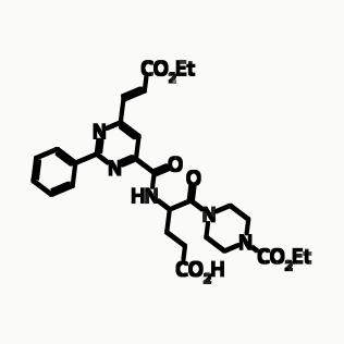 CCOC(=O)C=Cc1cc(C(=O)NC(CCC(=O)O)C(=O)N2CCN(C(=O)OCC)CC2)nc(-c2ccccc2)n1